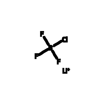 F[B-](F)(F)Cl.[Li+]